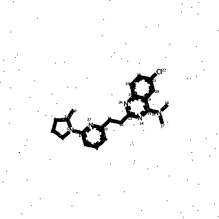 CC1CCCN1c1cccc(CCc2nc(N(C)C)c3cc(Cl)ccc3n2)n1